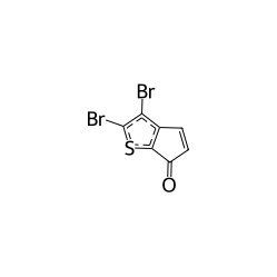 O=C1C=Cc2c1sc(Br)c2Br